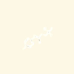 Cc1ccc(SC(=O)CCC(F)(F)Cl)cc1